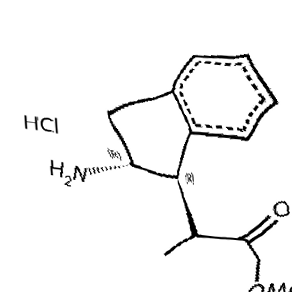 COC(=O)C(C)[C@@H]1c2ccccc2C[C@H]1N.Cl